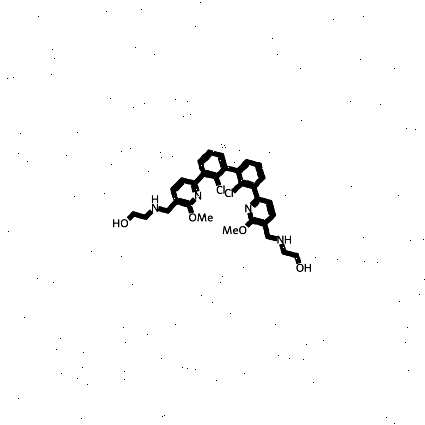 COc1nc(-c2cccc(-c3cccc(-c4ccc(CNCCO)c(OC)n4)c3Cl)c2Cl)ccc1CNCCO